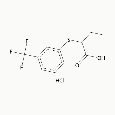 CCC(Sc1cccc(C(F)(F)F)c1)C(=O)O.Cl